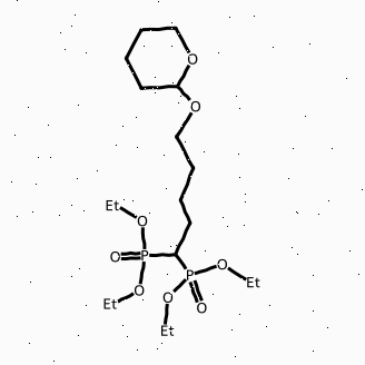 CCOP(=O)(OCC)C(CCCCOC1CCCCO1)P(=O)(OCC)OCC